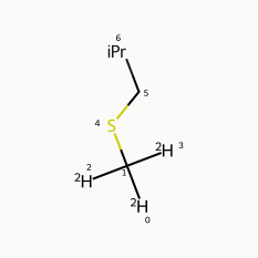 [2H]C([2H])([2H])SCC(C)C